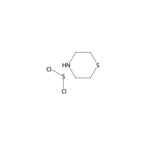 C1CSCCN1.ClSCl